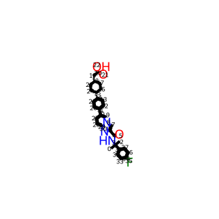 CC(C)(NC(=O)c1cn2cc(-c3ccc([C@H]4CC[C@H](CC(=O)O)CC4)cc3)ccc2n1)c1ccc(F)cc1